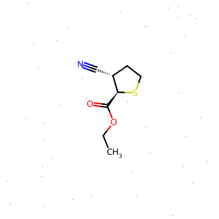 CCOC(=O)[C@@H]1SCC[C@H]1C#N